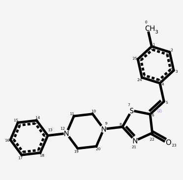 Cc1ccc(/C=C2\SC(N3CCN(c4ccccc4)CC3)=NC2=O)cc1